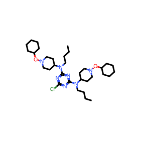 CCCCN(c1nc(Cl)nc(N(CCCC)C2CCN(OC3CCCCC3)CC2)n1)C1CCN(OC2CCCCC2)CC1